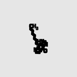 CCCCCCCCn1c2[nH]cnc2c(=O)n2ccnc12